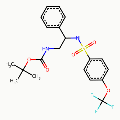 CC(C)(C)OC(=O)NCC(NS(=O)(=O)c1ccc(OC(F)(F)F)cc1)c1ccccc1